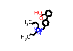 C/C=C/Cc1nc(CCC)nn1Cc1ccc(-c2ccccc2C(=O)O)cc1